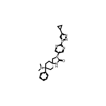 CN(C)[C@]1(c2ccccc2)CC[C@]2(CC1)CN(c1cnc(-n3cc(C4CC4)nn3)nc1)C(=O)N2